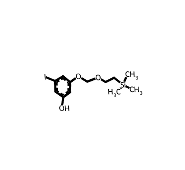 C[Si](C)(C)CCOCOc1cc(O)cc(I)c1